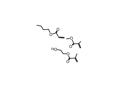 C=C(C)C(=O)OC.C=C(C)C(=O)OCCO.C=CC(=O)OCCCC